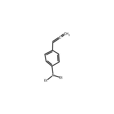 C=C=Cc1ccc(N(CC)CC)cc1